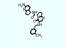 Cc1cccc(CNc2cnc3n(c2=O)[C@H](C(=O)N[C@@H]2CCc4nc(N)ccc42)CC3)c1